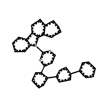 c1ccc(-c2ccc(-c3ccccc3-c3ccnc(-n4c5ccccc5c5ccc6ccccc6c54)n3)cc2)cc1